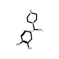 CC([C@H]1C=CC(O)=C(O)C1)N1CCNCC1